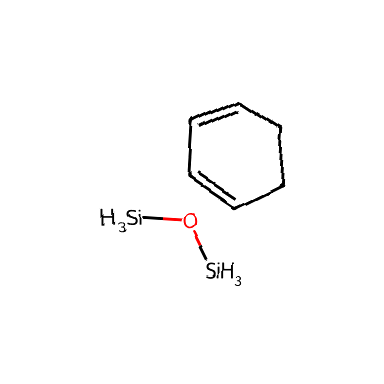 C1=CCCC=C1.[SiH3]O[SiH3]